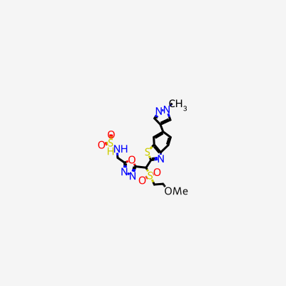 COCCS(=O)(=O)C(c1nnc(CN[SH](=O)=O)o1)c1nc2ccc(-c3cnn(C)c3)cc2s1